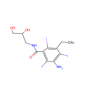 CC(=O)OCc1c(I)c(N)c(I)c(C(=O)NCC(O)CO)c1I